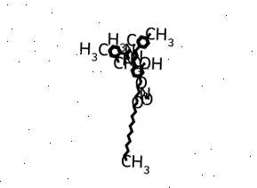 CCCCCCCCCCCCOCC(COc1ccc(-c2nc(-c3ccc(C)cc3C)nc(-c3ccc(C)cc3C)n2)c(O)c1)N=O